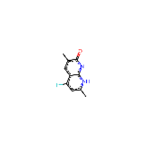 Cc1cc(F)c2cc(C)c(=O)nc-2[nH]1